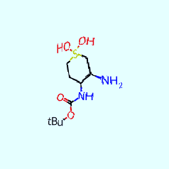 CC(C)(C)OC(=O)N[C@H]1CCS(O)(O)C[C@H]1N